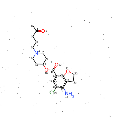 CC(=O)CCCN1CCC(OC(=O)c2cc(Cl)c(N)c3c2OCC3)CC1